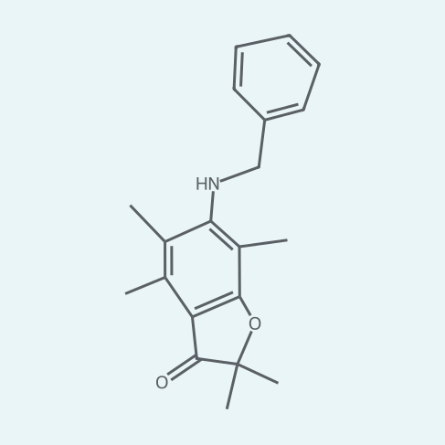 Cc1c(C)c2c(c(C)c1NCc1ccccc1)OC(C)(C)C2=O